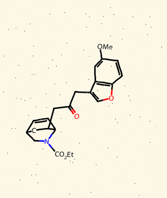 CCOC(=O)N1CC2C=CC1C(CC(=O)Cc1coc3ccc(OC)cc13)C2